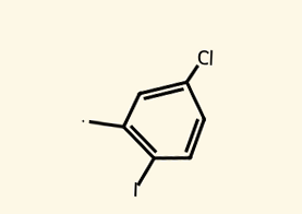 [CH2]c1cc(Cl)ccc1I